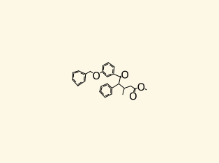 COC(=O)CC(C)C(C(=O)c1cccc(OCc2ccccc2)c1)c1ccccc1